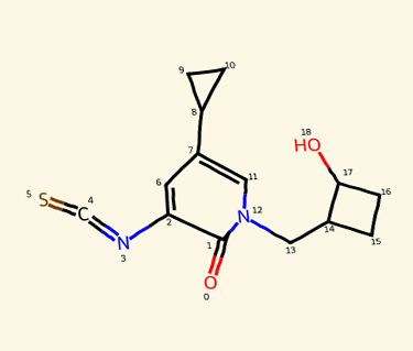 O=c1c(N=C=S)cc(C2CC2)cn1CC1CCC1O